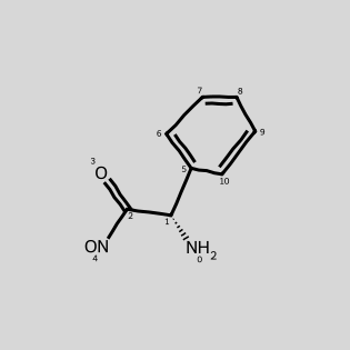 N[C@H](C(=O)N=O)c1ccccc1